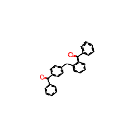 O=C(c1ccccc1)c1ccc(Cc2ccccc2C(=O)c2ccccc2)cc1